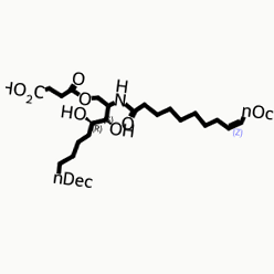 CCCCCCCC/C=C\CCCCCCCC(=O)NC(COC(=O)CCC(=O)O)[C@H](O)[C@H](O)CCCCCCCCCCCCCC